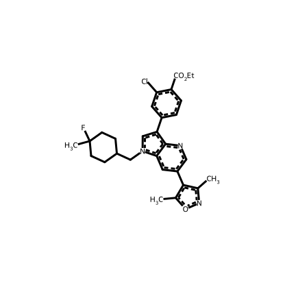 CCOC(=O)c1ccc(-c2cn(CC3CCC(C)(F)CC3)c3cc(-c4c(C)noc4C)cnc23)cc1Cl